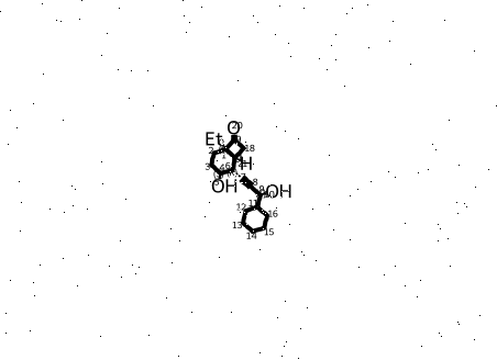 CC[C@@]12CC[C@H](O)[C@@H](C#C[C@@H](O)C3CCCCC3)[C@@H]1CC2=O